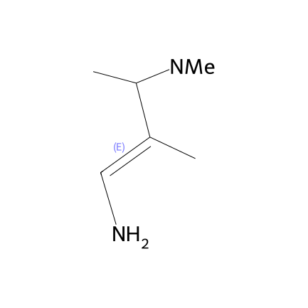 CNC(C)/C(C)=C/N